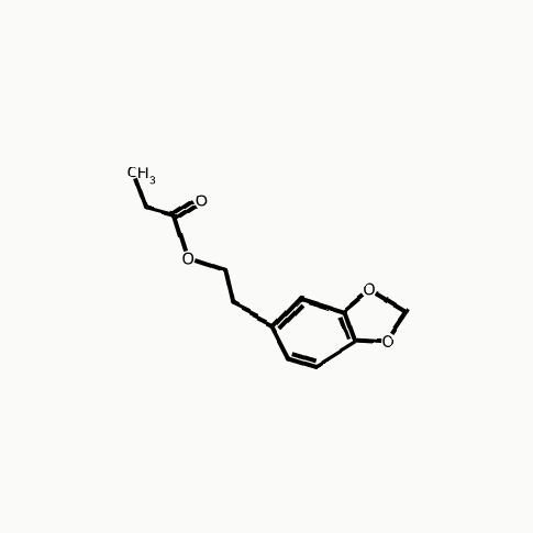 CCC(=O)OCCc1ccc2c(c1)OCO2